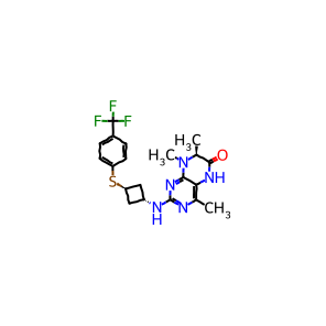 Cc1nc(N[C@H]2C[C@H](Sc3ccc(C(F)(F)F)cc3)C2)nc2c1NC(=O)[C@H](C)N2C